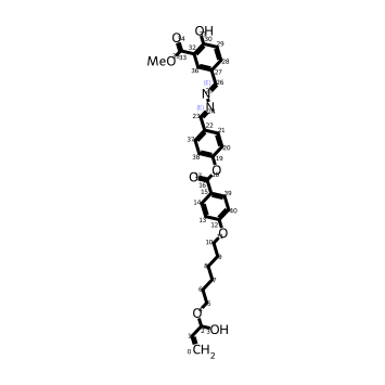 C=CC(O)OCCCCCCOc1ccc(C(=O)Oc2ccc(/C=N/N=C/c3ccc(O)c(C(=O)OC)c3)cc2)cc1